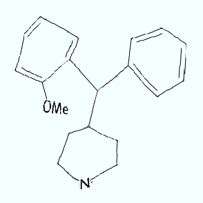 COc1ccccc1C(c1ccccc1)C1CC[N]CC1